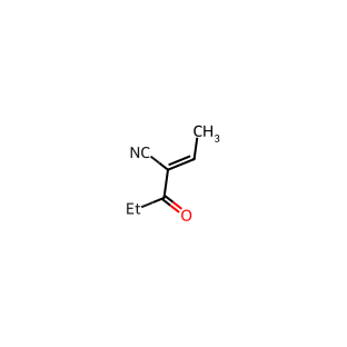 C/C=C(\C#N)C(=O)CC